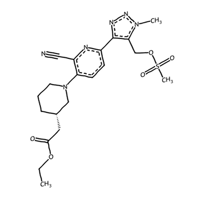 CCOC(=O)C[C@@H]1CCCN(c2ccc(-c3nnn(C)c3COS(C)(=O)=O)nc2C#N)C1